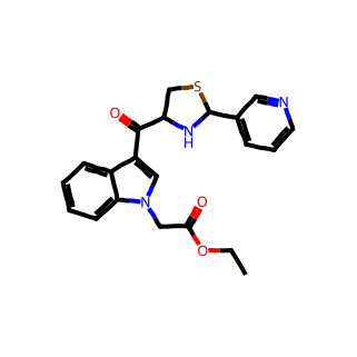 CCOC(=O)Cn1cc(C(=O)C2CSC(c3cccnc3)N2)c2ccccc21